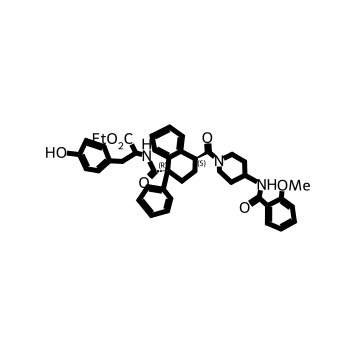 CCOC(=O)C(Cc1ccc(O)cc1)NC(=O)[C@@]1(c2ccccc2)CC[C@H](C(=O)N2CCC(NC(=O)c3ccccc3OC)CC2)c2ccccc21